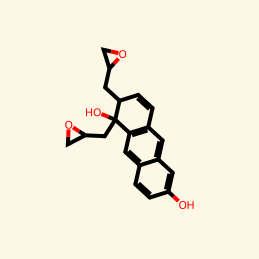 Oc1ccc2cc3c(cc2c1)C=CC(CC1CO1)C3(O)CC1CO1